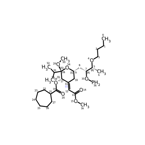 CCCCO[C@H](C)[C@@H](C[C@@H]1C/C(=C\C(=O)OC)[C@H](OC(=O)C2CCCCCC2)[C@](OC)(C(C)C)O1)OP